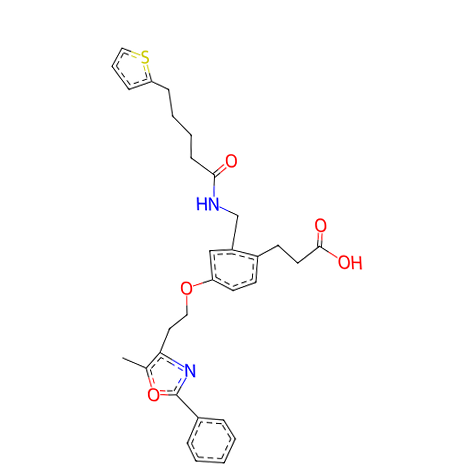 Cc1oc(-c2ccccc2)nc1CCOc1ccc(CCC(=O)O)c(CNC(=O)CCCCc2cccs2)c1